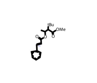 COC(=O)C(C(C)OC(=O)/C=C/c1ccccc1)C(C)(C)C